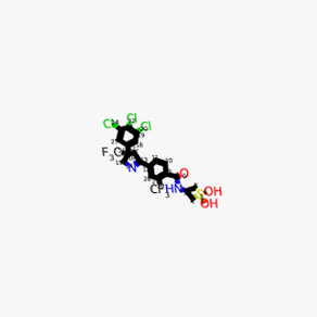 O=C(NC1CS(O)(O)C1)c1ccc(C2=NCC(c3cc(Cl)c(Cl)c(Cl)c3)(C(F)(F)F)C2)cc1C(F)(F)F